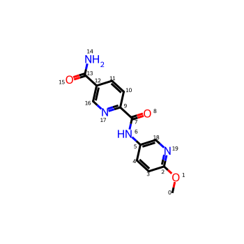 COc1ccc(NC(=O)c2ccc(C(N)=O)cn2)cn1